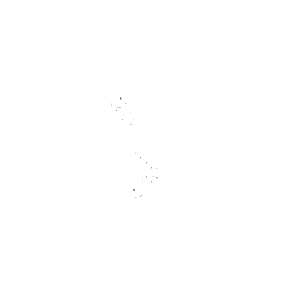 C[C@H](NC(=O)c1ccco1)C(=O)N1CCCN(CCCOc2ccc(-c3ncon3)c(F)c2)CC1